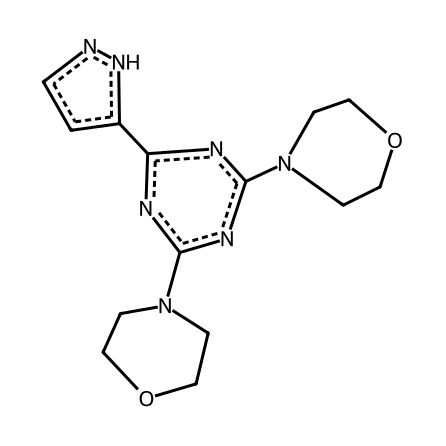 c1cc(-c2nc(N3CCOCC3)nc(N3CCOCC3)n2)[nH]n1